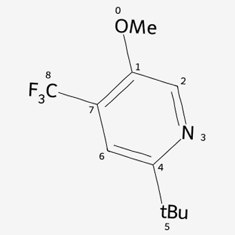 COc1cnc(C(C)(C)C)cc1C(F)(F)F